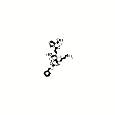 NCCCC[C@H](NC(=O)OCc1ccccc1)C(=O)N[C@H](CCC(=O)N1CSC[C@H]1C(=O)O)C(=O)O